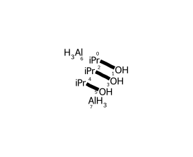 CC(C)O.CC(C)O.CC(C)O.[AlH3].[AlH3]